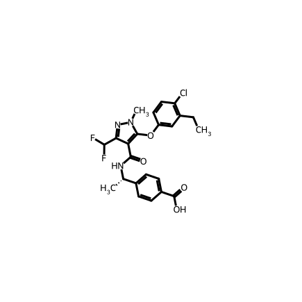 CCc1cc(Oc2c(C(=O)N[C@@H](C)c3ccc(C(=O)O)cc3)c(C(F)F)nn2C)ccc1Cl